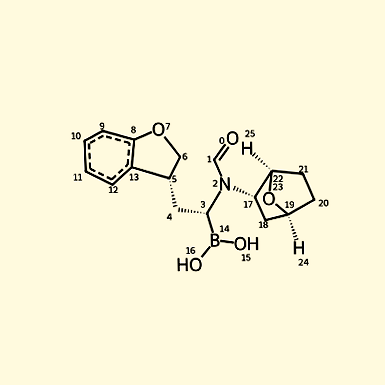 O=CN([C@@H](C[C@H]1COc2ccccc21)B(O)O)[C@H]1C[C@@H]2CC[C@H]1O2